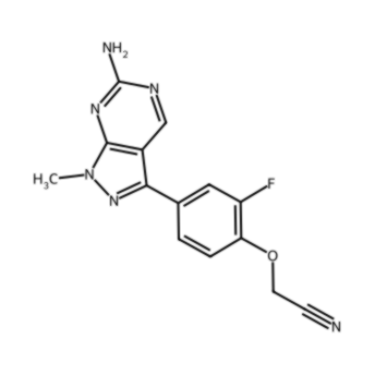 Cn1nc(-c2ccc(OCC#N)c(F)c2)c2cnc(N)nc21